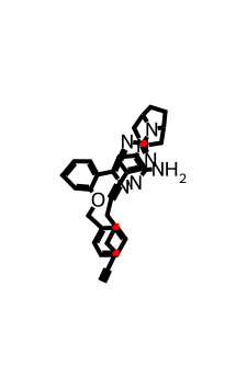 C#CCCCCC#Cc1cnc(N2C3CCC2CN(c2cc(-c4ccccc4OCc4ccccc4)nnc2N)C3)nc1